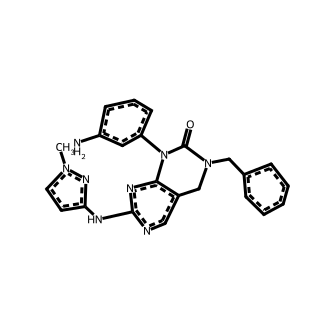 Cn1ccc(Nc2ncc3c(n2)N(c2cccc(N)c2)C(=O)N(Cc2ccccc2)C3)n1